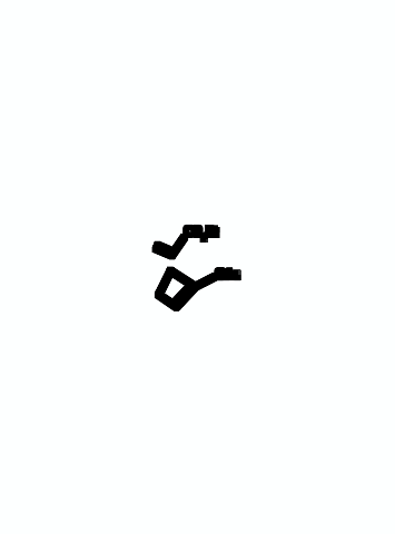 C=CC(=O)OCC.CC(=O)OC1=CCC1